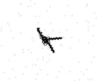 CCCCCCCCCCOc1c(OCCCCCCCCCC)c2ccc(OC/C=C(\C)CCC=C(C)C)cc2oc1=O